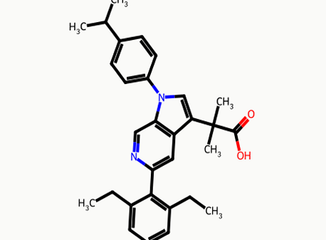 CCc1cccc(CC)c1-c1cc2c(C(C)(C)C(=O)O)cn(-c3ccc(C(C)C)cc3)c2cn1